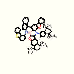 Cc1cc2c(cc1N1c3c(oc4cc5c(cc34)C(C)(C)CCC5(C)C)Bc3c(-c4c(Nc5cccc6sc7ccccc7c56)ccc5ccccc45)cc4c(oc5ccccc54)c31)C(C)(C)CCC2(C)C